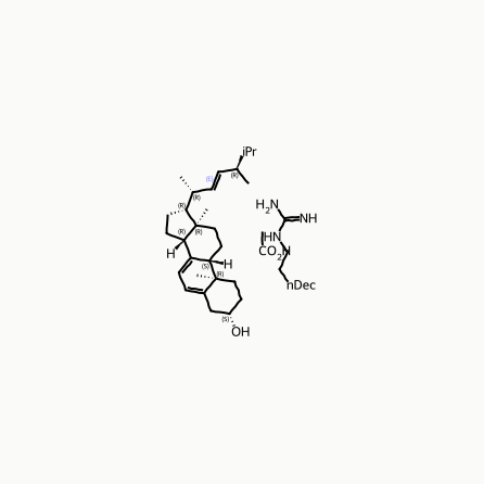 CC(=O)O.CC(C)[C@@H](C)/C=C/[C@@H](C)[C@H]1CC[C@H]2C3=CC=C4C[C@@H](O)CC[C@]4(C)[C@H]3CC[C@]12C.CCCCCCCCCCCCNC(=N)N